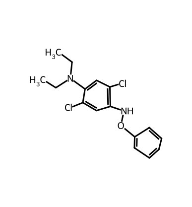 CCN(CC)c1cc(Cl)c(NOc2ccccc2)cc1Cl